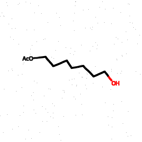 CC(=O)OCCCCCCCO